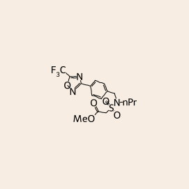 CCCN(Cc1ccc(-c2noc(C(F)(F)F)n2)cc1)S(=O)(=O)CC(=O)OC